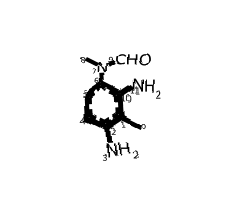 Cc1c(N)ccc(N(C)C=O)c1N